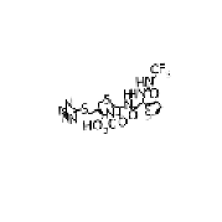 Cn1nnnc1SCC1=C(C(=O)O)N2C(=O)[C@H](NC(=O)C(NC(=O)NCC(F)(F)F)c3cccs3)C2SC1